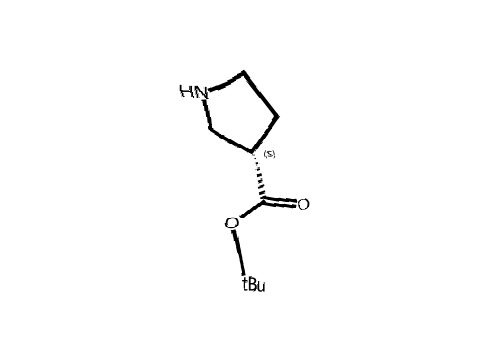 CC(C)(C)OC(=O)[C@H]1CCNC1